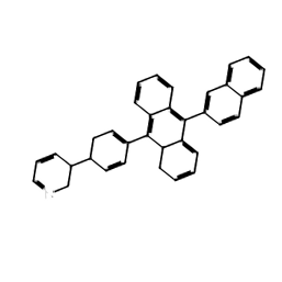 C1=CCC2C(=C1)C(c1ccc3ccccc3c1)=c1ccccc1=C2C1=CCC(C2C=CC=NC2)C=C1